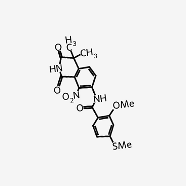 COc1cc(SC)ccc1C(=O)Nc1ccc2c(c1[N+](=O)[O-])C(=O)NC(=O)C2(C)C